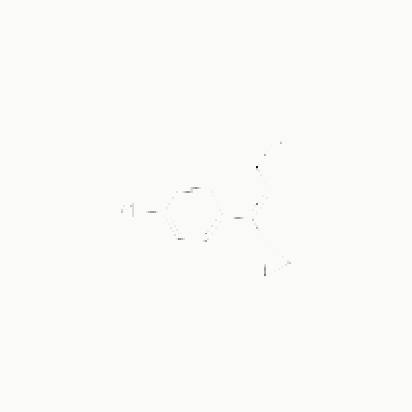 O=C/C=C(\c1ccc(Cl)cc1)C1CC1